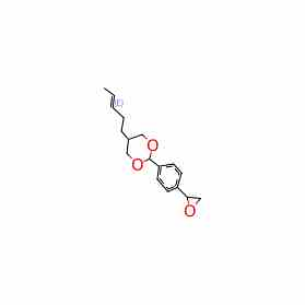 C/C=C/CCC1COC(c2ccc(C3CO3)cc2)OC1